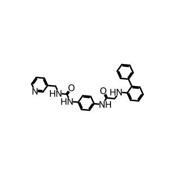 O=C(CNc1ccccc1-c1ccccc1)Nc1ccc(NC(=O)NCc2cccnc2)cc1